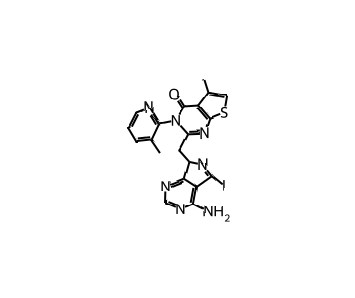 Cc1cccnc1-n1c(CC2N=C(I)c3c(N)ncnc32)nc2scc(C)c2c1=O